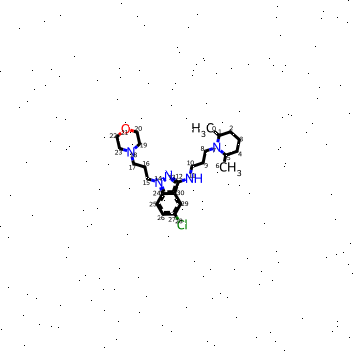 CC1CCCC(C)N1CCCNc1nn(CCCN2CCOCC2)c2ccc(Cl)cc12